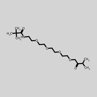 CC(C)C(=O)COCCOCCOCCOCCNC(=O)C(C)(C)C